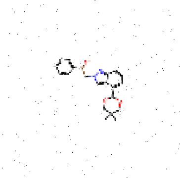 CC1(C)COB(c2cccc3nn(C[S+]([O-])c4ccccc4)cc23)OC1